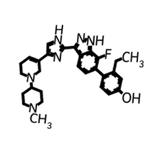 CCc1cc(O)ccc1-c1ccc2c(-c3nc(C4=CCCN(C5CCN(C)CC5)C4)c[nH]3)n[nH]c2c1F